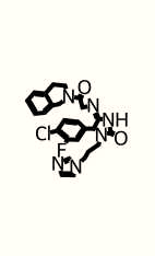 O=C(CN=C1NC(=O)N(CCCn2ccnc2)C1c1ccc(Cl)c(F)c1)N1CCc2ccccc2C1